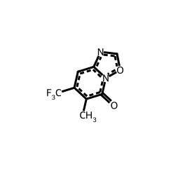 Cc1c(C(F)(F)F)cc2ncon2c1=O